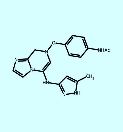 CC(=O)Nc1ccc(ON2C=C(Nc3cc(C)[nH]n3)[N+]3C=CN=C3C2)cc1